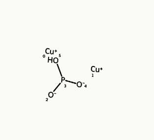 [Cu+].[Cu+].[O-]P([O-])O